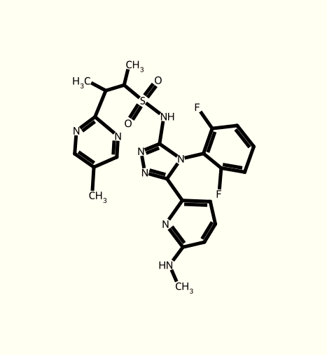 CNc1cccc(-c2nnc(NS(=O)(=O)C(C)C(C)c3ncc(C)cn3)n2-c2c(F)cccc2F)n1